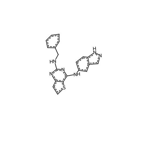 c1ccc(CNc2nc(Nc3ccc4[nH]ncc4c3)c3sccc3n2)cc1